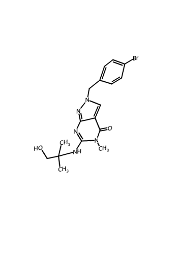 Cn1c(NC(C)(C)CO)nc2nn(Cc3ccc(Br)cc3)cc2c1=O